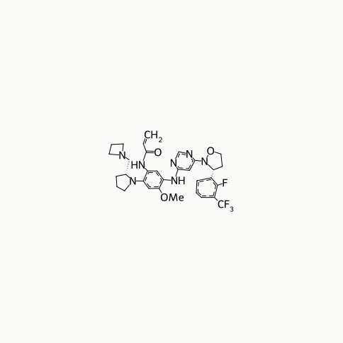 C=CC(=O)Nc1cc(Nc2cc(N3OCC[C@@H]3c3cccc(C(F)(F)F)c3F)ncn2)c(OC)cc1N1CCC[C@@H]1CN1CCC1